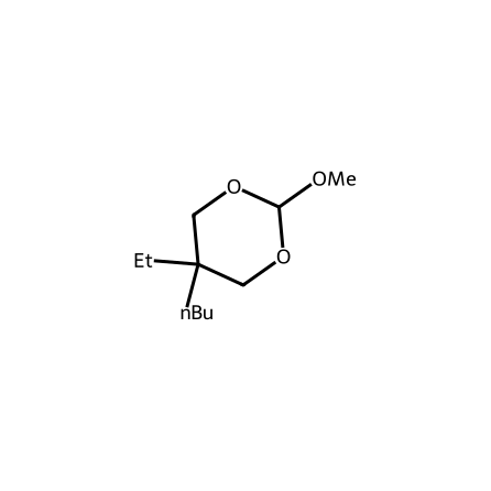 CCCCC1(CC)COC(OC)OC1